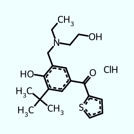 CCN(CCO)Cc1cc(C(=O)c2cccs2)cc(C(C)(C)C)c1O.Cl